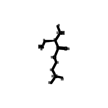 CN[C@H](CS)C(=O)OCCN(C)C